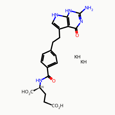 Nc1nc(=O)c2c(CCc3ccc(C(=O)N[C@@H](CCC(=O)O)C(=O)O)cc3)c[nH]c2[nH]1.[KH].[KH]